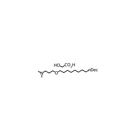 CCCCCCCCCCCCCCCCCCOCCCN(C)C.O=C(O)CO